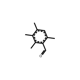 Cc1cc(C)c(C=O)c(C)c1C